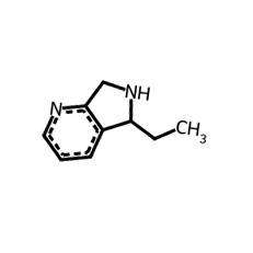 CCC1NCc2ncccc21